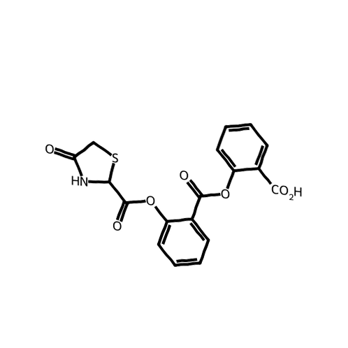 O=C1CSC(C(=O)Oc2ccccc2C(=O)Oc2ccccc2C(=O)O)N1